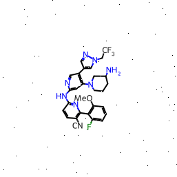 COc1cccc(F)c1-c1nc(Nc2cc(N3CCC[C@H](N)C3)c(-c3cnn(CC(F)(F)F)c3)cn2)ccc1C#N